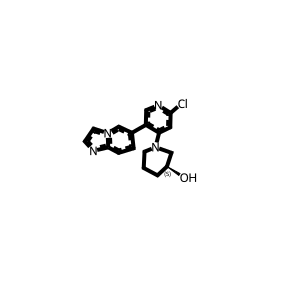 O[C@H]1CCCN(c2cc(Cl)ncc2-c2ccc3nccn3c2)C1